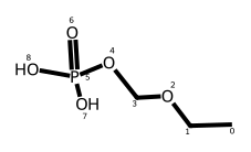 CCOCOP(=O)(O)O